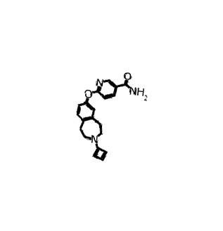 NC(=O)c1ccc(Oc2ccc3c(c2)CCN(C2=CC=C2)CC3)nc1